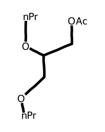 CCCOCC(COC(C)=O)OCCC